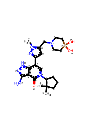 Cn1nc(-c2cn(C3CCCC3(C)C)c(=O)c3c(N)n[nH]c23)cc1CN1CCS(O)(O)CC1